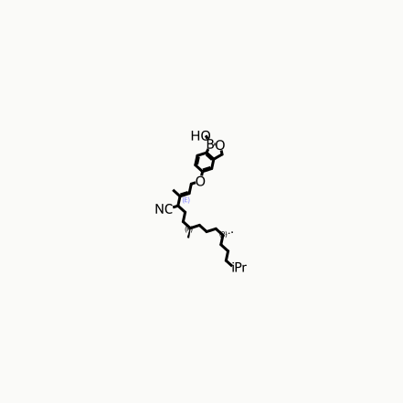 C/C(=C\COc1ccc2c(c1)COB2O)C(C#N)CC[C@H](C)CCC[C@H](C)CCCC(C)C